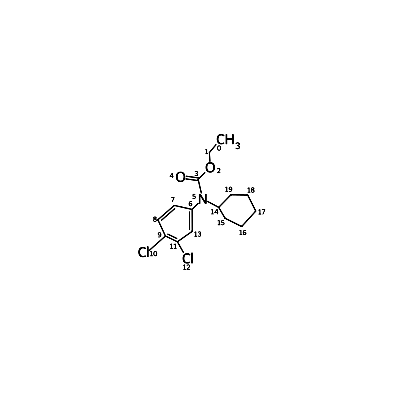 CCOC(=O)N(c1ccc(Cl)c(Cl)c1)C1CCCCC1